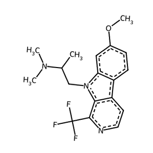 COc1ccc2c3ccnc(C(F)(F)F)c3n(CC(C)N(C)C)c2c1